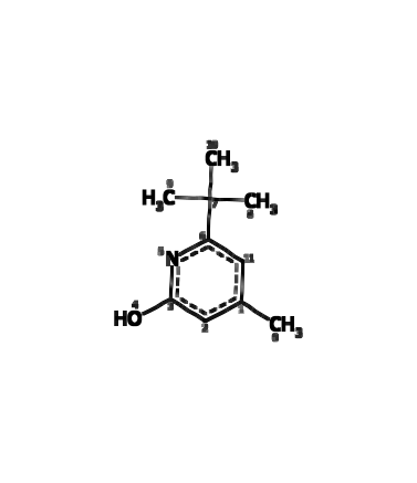 Cc1cc(O)nc(C(C)(C)C)c1